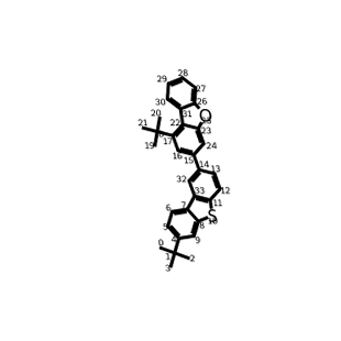 CC(C)(C)c1ccc2c(c1)sc1ccc(-c3cc(C(C)(C)C)c4c(c3)oc3ccccc34)cc12